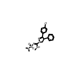 CN/C(=N\S(=O)(=O)N(C)C)N1CC(c2ccccc2)C(c2ccc(Cl)cc2)=N1